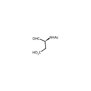 CC(=O)N[C@H](C=O)CC(=O)O